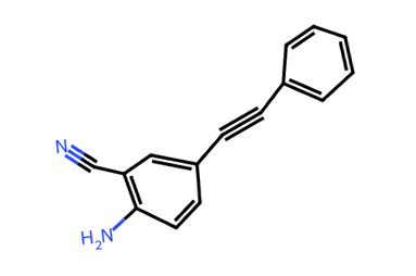 N#Cc1cc(C#Cc2ccccc2)ccc1N